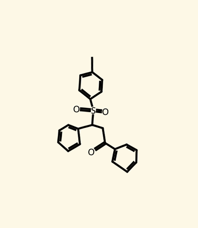 Cc1ccc(S(=O)(=O)C(CC(=O)c2ccccc2)c2ccccc2)cc1